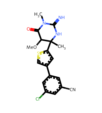 COC1C(=O)N(C)C(=N)NC1(C)c1cc(-c2cc(Cl)cc(C#N)c2)cs1